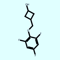 OC1CC(COc2c(F)cc(F)cc2F)C1